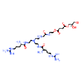 N=C(N)NCCCC(N)C(=O)NCCN(CCNCC(=O)NCCOC(=O)CCC(=O)OC[C@H](O)CO)CCNC(=O)C(N)CCCNC(=N)N